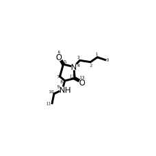 CCCCN1C(=O)CC(NCC)C1=O